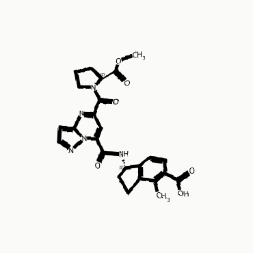 COC(=O)[C@@H]1CCCN1C(=O)c1cc(C(=O)N[C@H]2CCc3c2ccc(C(=O)O)c3C)n2nccc2n1